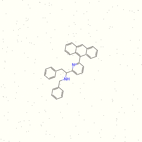 c1ccc(CNC(Cc2ccccc2)c2cccc(-c3c4ccccc4cc4ccccc34)n2)cc1